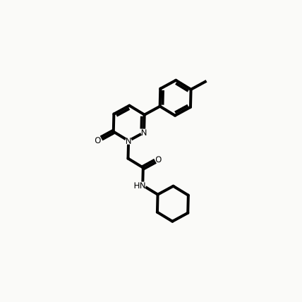 Cc1ccc(-c2ccc(=O)n(CC(=O)NC3CCCCC3)n2)cc1